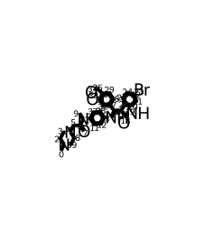 CN1CCN(CC(=O)N(C)c2ccc(N/C(=C3\C(=O)Nc4cc(Br)ccc43)c3ccc4c(c3)OOC4)cc2)CC1